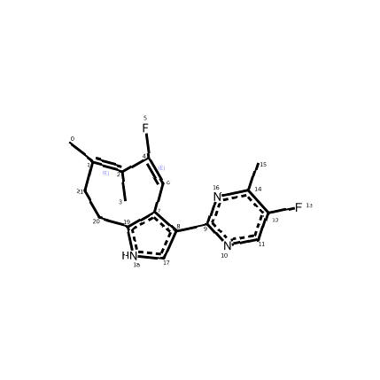 C/C1=C(C)\C(F)=C/c2c(-c3ncc(F)c(C)n3)c[nH]c2CC1